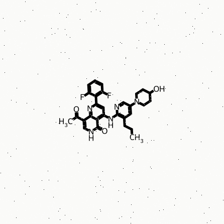 CCCc1cc(N2CCC(O)CC2)cnc1Nc1cc(-c2c(F)cccc2F)nc2c(C(C)=O)c[nH]c(=O)c12